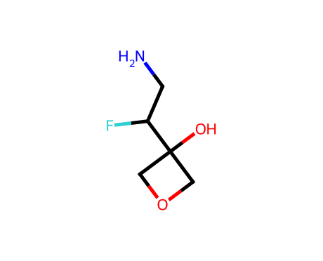 NCC(F)C1(O)COC1